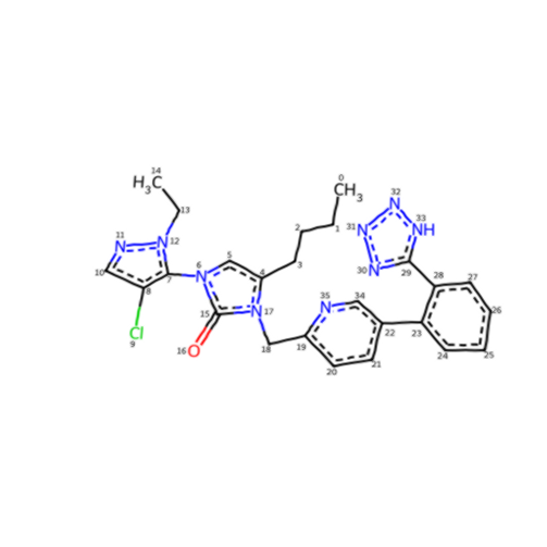 CCCCc1cn(-c2c(Cl)cnn2CC)c(=O)n1Cc1ccc(-c2ccccc2-c2nnn[nH]2)cn1